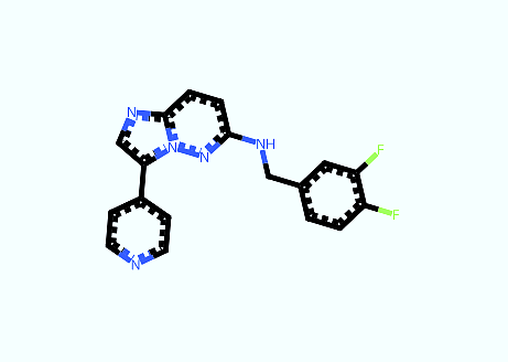 Fc1ccc(CNc2ccc3ncc(-c4ccncc4)n3n2)cc1F